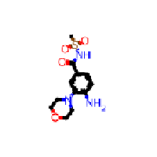 CS(=O)(=O)NC(=O)c1ccc(N)c(N2CCOCC2)c1